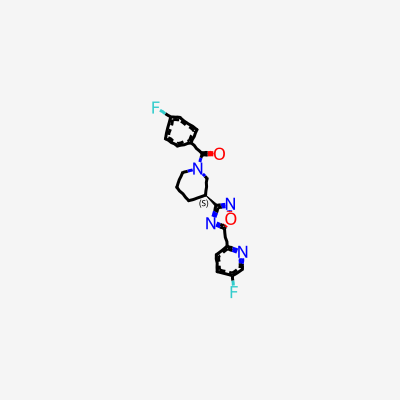 O=C(c1ccc(F)cc1)N1CCC[C@H](c2noc(-c3ccc(F)cn3)n2)C1